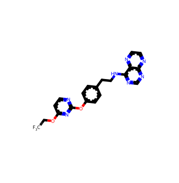 FC(F)(F)COc1ccnc(Oc2ccc(CCNc3ncnc4nccnc34)cc2)n1